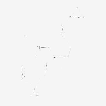 CN1c2ccc(O)cc2C2(C)CCN(CC3CC3)C12